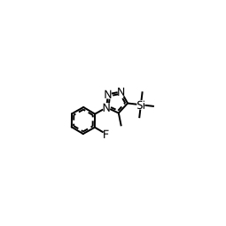 Cc1c([Si](C)(C)C)nnn1-c1ccccc1F